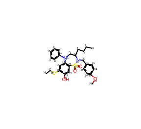 CCCCC1CN(c2ccccc2)c2cc(SCC)c(O)cc2S(=O)(=O)N1Cc1ccc(OC)cc1